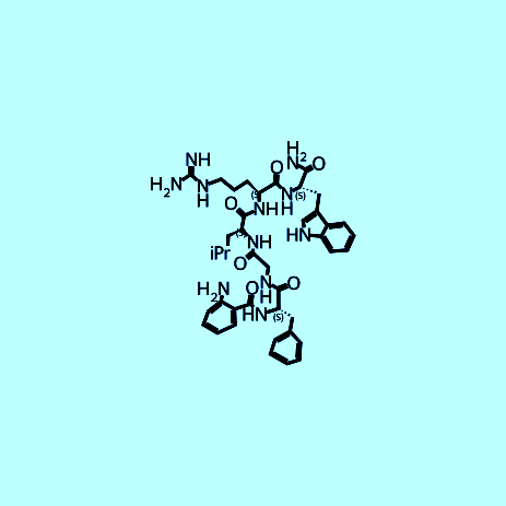 CC(C)C[C@H](NC(=O)CNC(=O)[C@H](Cc1ccccc1)NC(=O)c1ccccc1N)C(=O)N[C@@H](CCCNC(=N)N)C(=O)N[C@@H](Cc1c[nH]c2ccccc12)C(N)=O